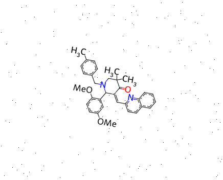 COc1ccc(OC)c(C2C(=Cc3ccc4ccccc4n3)C(=O)C(C)(C)CN2Cc2ccc(C)cc2)c1